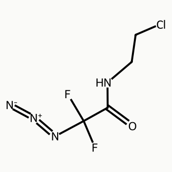 [N-]=[N+]=NC(F)(F)C(=O)NCCCl